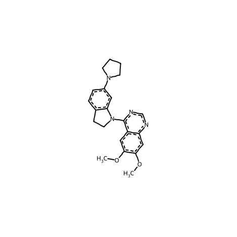 COc1cc2ncnc(N3CCc4ccc(N5CCCC5)cc43)c2cc1OC